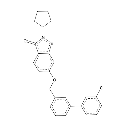 O=c1c2ccc(OCc3cccc(-c4cccc(Cl)c4)c3)cc2sn1C1CCCC1